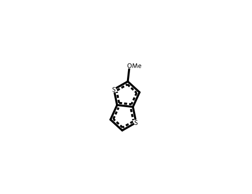 COc1cc2sccc2s1